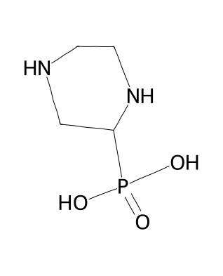 O=P(O)(O)C1CNCCN1